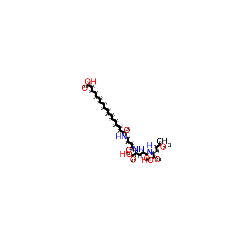 CC(=O)CC[C@H](NC(=O)CCC(NC(=O)CCCNC(=O)CCCCCCCCCCCCCCCCC(=O)O)C(=O)O)C(=O)O